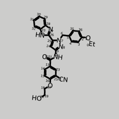 CCOc1ccc(Cn2nc(NC(=O)c3ccc(OCCO)c(C#N)c3)cc2-c2nc3ccccc3[nH]2)cc1